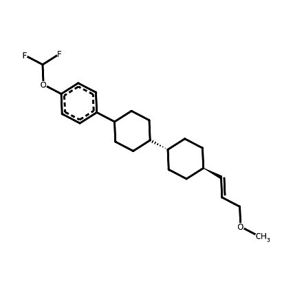 COC/C=C/[C@H]1CC[C@H](C2CCC(c3ccc(OC(F)F)cc3)CC2)CC1